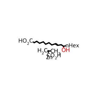 C=C(C)C(=O)O.CCCCCCC(O)C/C=C/CCCCCCCC(=O)O.[Zn]